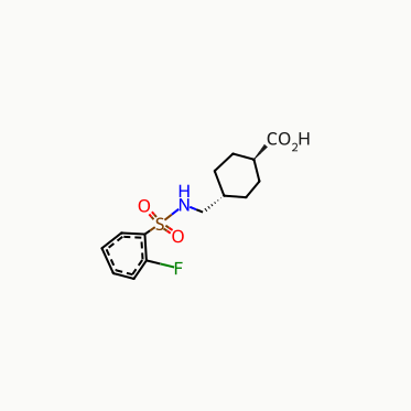 O=C(O)[C@H]1CC[C@H](CNS(=O)(=O)c2ccccc2F)CC1